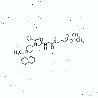 CC(C)OC(=O)/C=C/CNC(=O)CNC(=O)CN(C(=O)C1CCC1)C1CCN([C@H](C)c2cccc3ccccc23)CC1